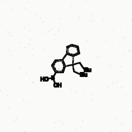 CCC(C)CC1(CC(C)CC)c2ccccc2-c2ccc(B(O)O)cc21